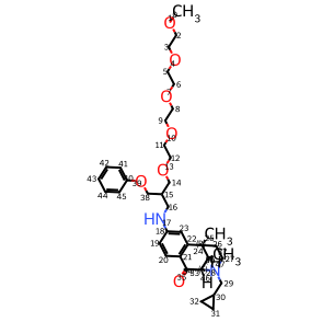 COCCOCCOCCOCCOCC(CNc1ccc2c(c1)[C@]1(C)CCN(CC3CC3)[C@H](C2=O)[C@@H]1C)COc1ccccc1